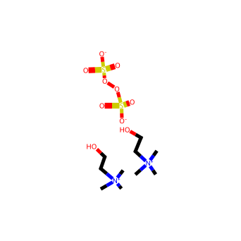 C[N+](C)(C)CCO.C[N+](C)(C)CCO.O=S(=O)([O-])OOS(=O)(=O)[O-]